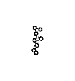 c1ccc(-c2ccccc2-c2ccc(N(c3ccccc3)c3cccc4c3oc3ccc5c(sc6ccc7ccccc7c65)c34)cc2)cc1